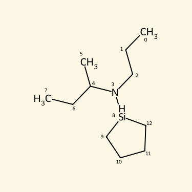 CCCN(C(C)CC)[SiH]1CCCC1